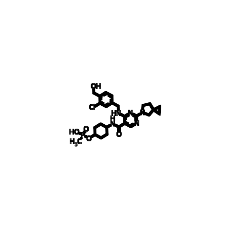 CP(=O)(O)OC1CCC(NC(=O)c2cnc(N3CCC4(CC4)C3)nc2NCc2ccc(CO)c(Cl)c2)CC1